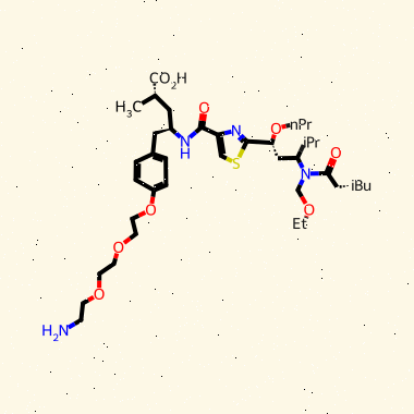 CCCO[C@H](CC(C(C)C)N(COCC)C(=O)C[C@@H](C)CC)c1nc(C(=O)N[C@@H](Cc2ccc(OCCOCCOCCN)cc2)C[C@H](C)C(=O)O)cs1